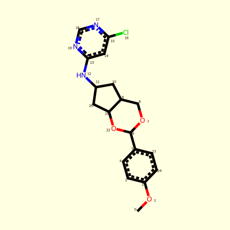 COc1ccc(C2OCC3CC(Nc4cc(Cl)ncn4)CC3O2)cc1